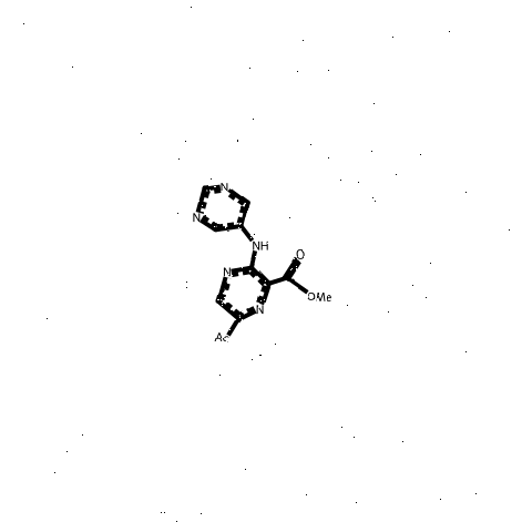 COC(=O)c1nc(C(C)=O)cnc1Nc1cncnc1